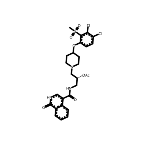 CC(=O)O[C@H](CNC(=O)c1c[nH]c(=O)c2ccccc12)CN1CCC(Oc2ccc(Cl)c(Cl)c2S(C)(=O)=O)CC1